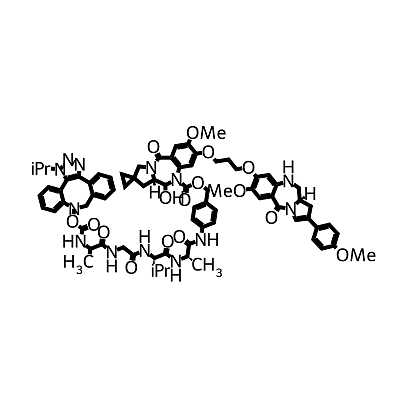 COc1ccc(C2=CN3C(=O)c4cc(OC)c(OCCCOc5cc6c(cc5OC)C(=O)N5CC7(CC7)C[C@H]5C(O)N6C(=O)OCc5ccc(NC(=O)[C@H](C)NC(=O)[C@@H](NC(=O)CNC(=O)C(C)NC(=O)ON6Cc7ccccc7-c7nnn(C(C)C)c7-c7ccccc76)C(C)C)cc5)cc4NC[C@@H]3C2)cc1